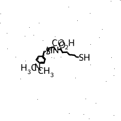 CN(C)c1ccc(CSCC(NC(=O)CCCCCS)C(=O)O)cc1